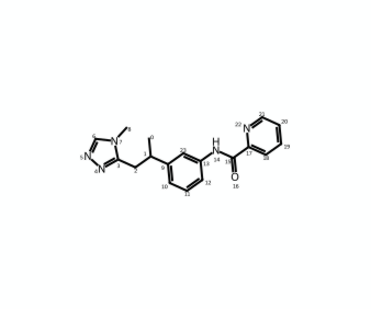 CC(Cc1nncn1C)c1cccc(NC(=O)c2ccccn2)c1